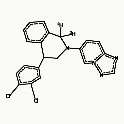 [2H]C1([2H])c2ccccc2C(c2ccc(Cl)c(Cl)c2)CN1c1ccc2ncnn2c1